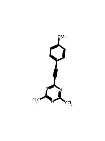 COc1ccc(C#Cc2nc(C(Cl)(Cl)Cl)nc(C(Cl)(Cl)Cl)n2)cc1